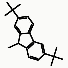 [CH2]C1c2ccc(C(C)(C)C)cc2-c2ccc(C(C)(C)C)cc21